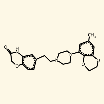 Cc1cc2c(c(N3CCN(CCc4ccc5c(c4)NC(=O)CO5)CC3)c1)OCCO2